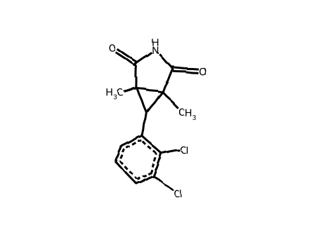 CC12C(=O)NC(=O)C1(C)C2c1cccc(Cl)c1Cl